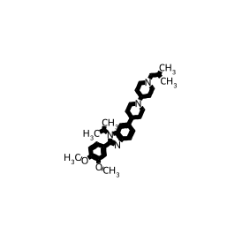 COc1ccc(-c2nc3ccc(C4CCN(C5CCN(CC(C)C)CC5)CC4)cc3n2C(C)C)cc1OC